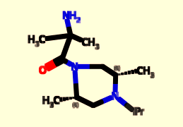 CC(C)N1C[C@H](C)N(C(=O)C(C)(C)N)C[C@@H]1C